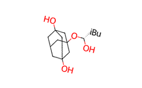 CCC(C)[C@H](O)OC12CC3CC(O)(CC(O)(C3)C1)C2